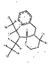 [2H]C1([2H])CCOP(=O)(N(C([2H])([2H])C([2H])([2H])Cl)C([2H])([2H])C([2H])([2H])Cl)N1Cc1ccccc1